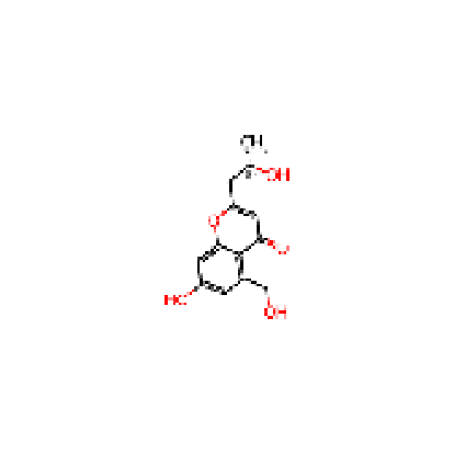 C[C@H](O)Cc1cc(=O)c2c(CO)cc(O)cc2o1